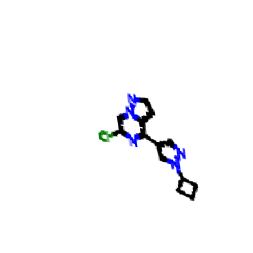 Clc1cn2nccc2c(-c2cnn(C3CCC3)c2)n1